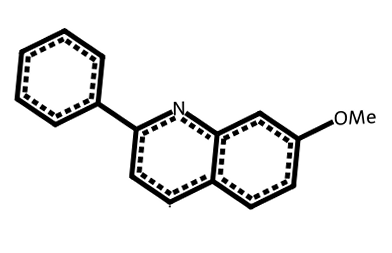 COc1ccc2[c]cc(-c3ccccc3)nc2c1